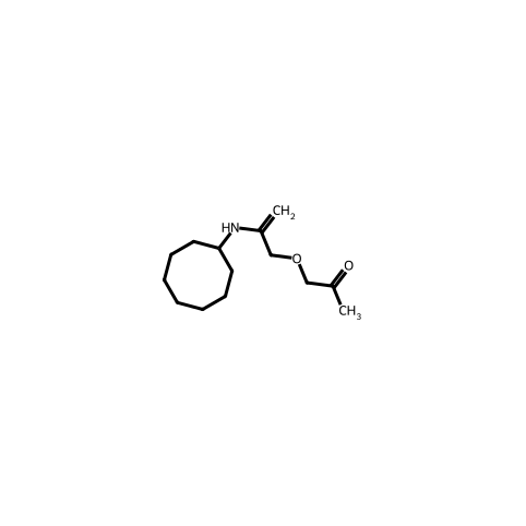 C=C(COCC(C)=O)NC1CCCCCCC1